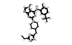 CCc1nnc(CC2CCN(c3nc(Nc4cc(C(C)(C)C)ccc4C)c4c(ncn4C)n3)CC2)o1